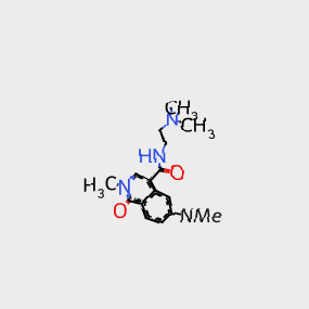 CNc1ccc2c(=O)n(C)cc(C(=O)NCCN(C)C)c2c1